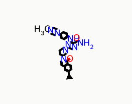 CN1CCN(c2ccc(Nc3nc(N4CCCC(n5ccc6cc(C7CC7)ccc6c5=O)C4)cnc3C(N)=O)cc2)CC1